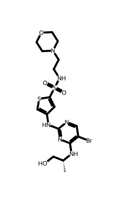 C[C@H](CO)Nc1nc(Nc2csc(S(=O)(=O)NCCN3CCOCC3)c2)ncc1Br